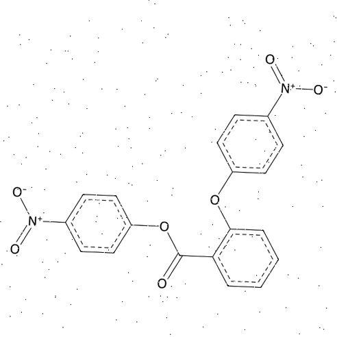 O=C(Oc1ccc([N+](=O)[O-])cc1)c1ccccc1Oc1ccc([N+](=O)[O-])cc1